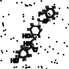 O=C(NC[C@]1(O)CC[C@@H](COc2ccccc2F)CC1)c1ccc(O)cc1